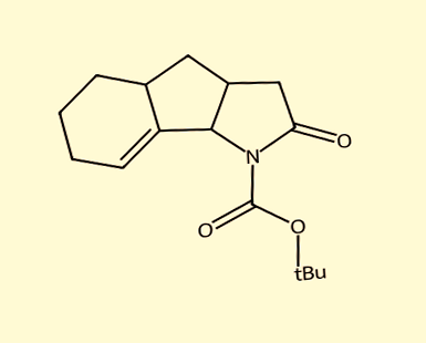 CC(C)(C)OC(=O)N1C(=O)CC2CC3CCCC=C3C21